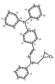 C(=N\N(CC1CO1)c1ccccc1)/c1ccc(N(c2ccccc2)c2ccccc2)cc1